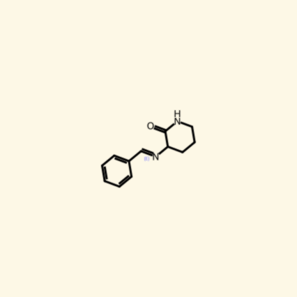 O=C1NCCCC1/N=C/c1ccccc1